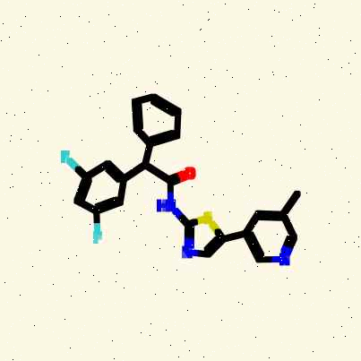 Cc1cncc(-c2cnc(NC(=O)C(c3ccccc3)c3cc(F)cc(F)c3)s2)c1